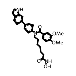 COc1ccc(C(=O)N(CCCCCCC(=O)NO)c2ccc(-c3ccc4cc[nH]c4c3)cc2)cc1OC